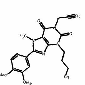 C#CCn1c(=O)c2c(nc(-c3ccc(OC)c(OC)c3)n2C)n(CCCC#N)c1=O